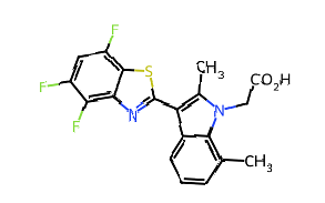 Cc1cccc2c(-c3nc4c(F)c(F)cc(F)c4s3)c(C)n(CC(=O)O)c12